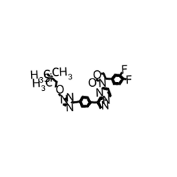 C[Si](C)(C)CCOCn1cnc(-c2ccc(-c3cnn4ccc(N5C(=O)OCC5c5ccc(F)c(F)c5)nc34)cc2)n1